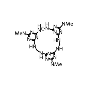 CNc1nc2nc(n1)NCNc1nc(NC)nc(n1)NCNc1nc(NC)nc(n1)NCN2